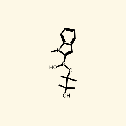 Cn1c(B(O)OC(C)(C)C(C)(C)O)cc2ccccc21